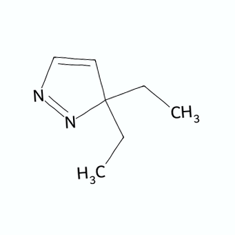 CCC1(CC)C=CN=N1